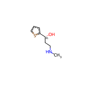 CNCC[C@@H](O)c1cccs1